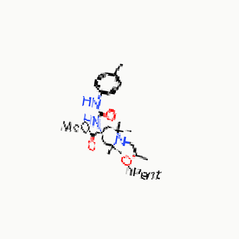 CCCCCOC(C)CN1C(C)(C)CC(NC(=O)Nc2ccc(C)cc2)(C(=O)OC)CC1(C)C